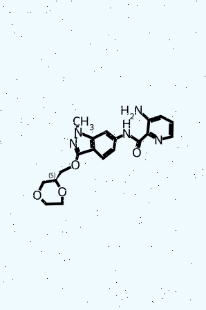 Cn1nc(OC[C@@H]2COCCO2)c2ccc(NC(=O)c3ncccc3N)cc21